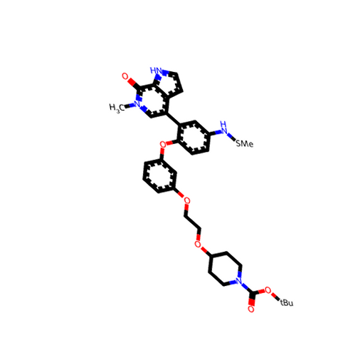 CSNc1ccc(Oc2cccc(OCCOC3CCN(C(=O)OC(C)(C)C)CC3)c2)c(-c2cn(C)c(=O)c3[nH]ccc23)c1